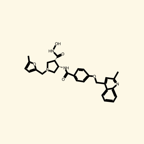 Cc1cc(COc2ccc(C(=O)N[C@@H]3CN(Cc4ccc(C)o4)C[C@@H]3C(=O)NO)cc2)c2ccccc2n1